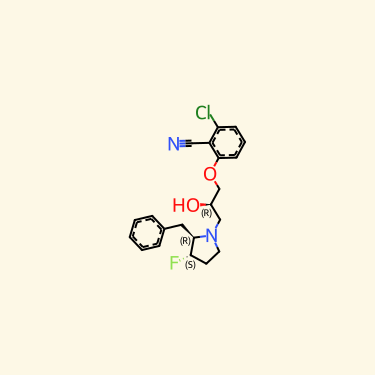 N#Cc1c(Cl)cccc1OC[C@H](O)CN1CC[C@H](F)[C@H]1Cc1ccccc1